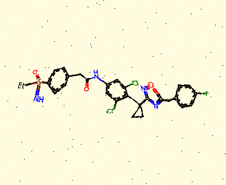 CCS(=N)(=O)c1ccc(CC(=O)Nc2cc(Cl)c(C3(c4noc(-c5ccc(F)cc5)n4)CC3)c(Cl)c2)cc1